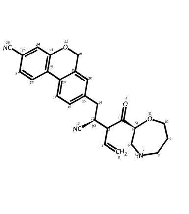 C=CC(C(=O)[C@@H]1CNCCCO1)[C@@H](C#N)Cc1ccc2c(c1)COc1cc(C#N)ccc1-2